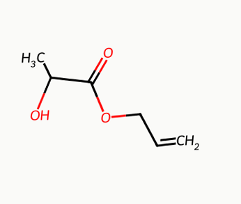 C=CCOC(=O)C(C)O